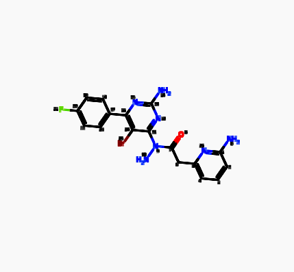 Nc1cccc(CC(=O)N(N)c2nc(N)nc(-c3ccc(F)cc3)c2Br)n1